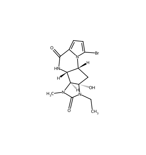 CCN1C(=O)N(C)[C@H]2[C@@H]3NC(=O)c4ccc(Br)n4[C@@H]3C[C@]21O